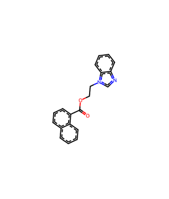 O=C(OCCn1cnc2ccccc21)c1cccc2ccccc12